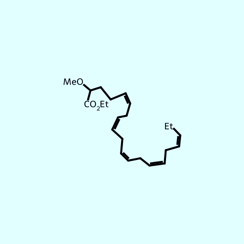 CC/C=C\C/C=C\C/C=C\C/C=C\C/C=C\CCC(OC)C(=O)OCC